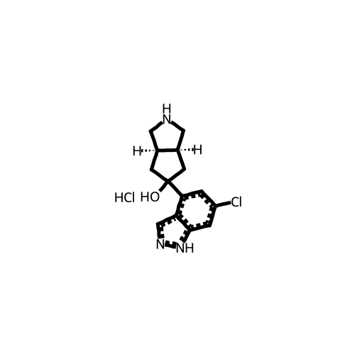 Cl.OC1(c2cc(Cl)cc3[nH]ncc23)C[C@H]2CNC[C@H]2C1